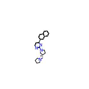 c1ccc2cc(-c3ccnc(N4CC[C@H](CN5CCCC5)C4)n3)ccc2c1